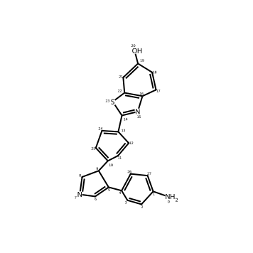 Nc1ccc(C2=CN=CC2c2ccc(-c3nc4ccc(O)cc4s3)cc2)cc1